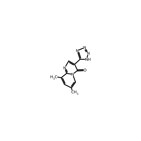 Cc1cc(C)c2ncc(-c3nnn[nH]3)c(=O)n2c1